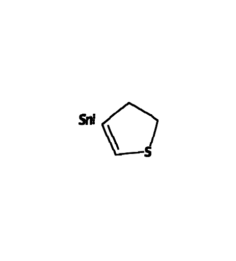 C1=CSCC1.[Sn]